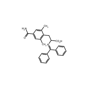 Cc1cc(C(N)=O)cc(C)c1CC(N=C(c1ccccc1)c1ccccc1)C(=O)O